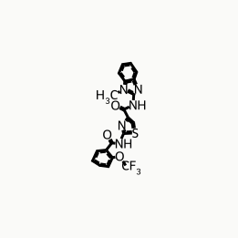 Cn1c(NC(=O)c2csc(NC(=O)c3ccccc3OC(F)(F)F)n2)nc2ccccc21